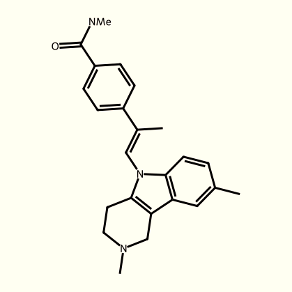 CNC(=O)c1ccc(/C(C)=C/n2c3c(c4cc(C)ccc42)CN(C)CC3)cc1